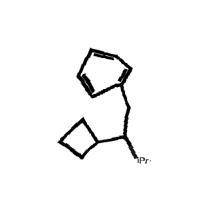 C[C](C)C(Cc1ccccc1)C1CCC1